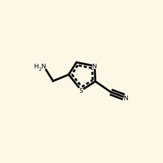 N#Cc1ncc(CN)s1